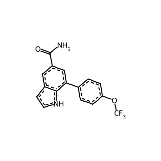 NC(=O)c1cc(-c2ccc(OC(F)(F)F)cc2)c2[nH]ccc2c1